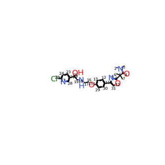 CN(C)C(=O)C(C)(C)c1nc(-c2ccc(OCCNC[C@@H](O)c3ccc(Cl)nc3)cc2)co1